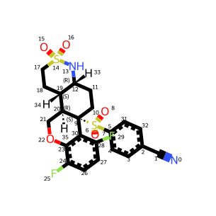 N#Cc1ccc(S(=O)(=O)[C@@]23CC[C@H]4NS(=O)(=O)CC[C@H]4[C@@H]2COc2c(F)ccc(F)c23)cc1